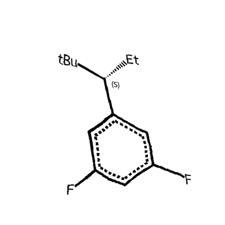 CC[C@H](c1cc(F)cc(F)c1)C(C)(C)C